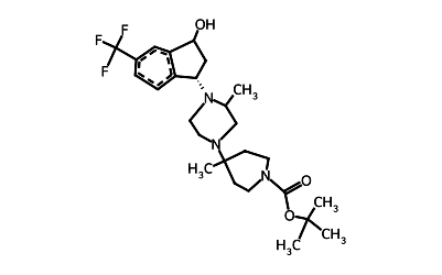 CC1CN(C2(C)CCN(C(=O)OC(C)(C)C)CC2)CCN1[C@H]1CC(O)c2cc(C(F)(F)F)ccc21